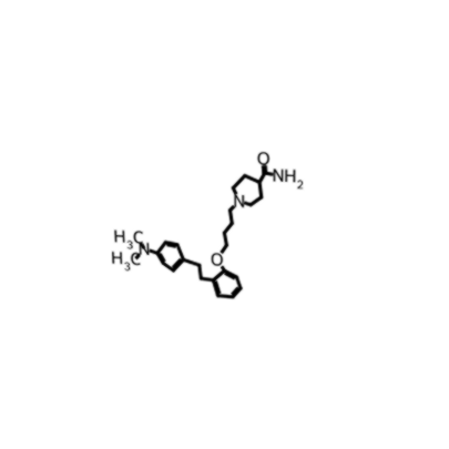 CN(C)c1ccc(CCc2ccccc2OCCCCN2CCC(C(N)=O)CC2)cc1